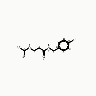 O=C(CCOC(F)F)NCc1ccc(F)cc1